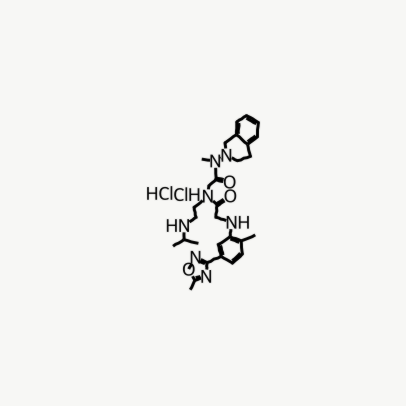 Cc1nc(-c2ccc(C)c(NCC(=O)N(CCNC(C)C)CC(=O)N(C)N3CCc4ccccc4C3)c2)no1.Cl.Cl